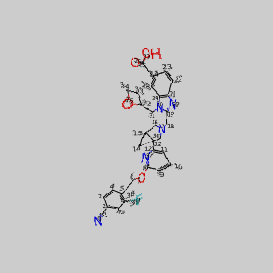 N#Cc1ccc(COc2cccc(C34CC3CN(Cc3nc5ccc(C(=O)O)cc5n3C[C@@H]3CCO3)C4)n2)c(F)c1